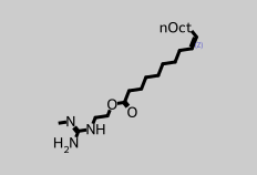 CCCCCCCC/C=C\CCCCCCCC(=O)OCCNC(N)=NC